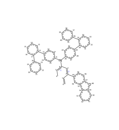 C=C/C(=C\C(=C/C)N(c1ccc(-c2ccccc2-c2ccccc2)cc1)c1ccc(-c2ccccc2-c2ccccc2)cc1)c1ccc2oc3ccccc3c2c1